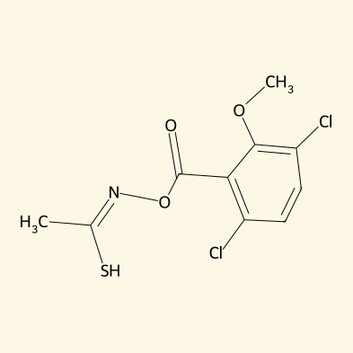 COc1c(Cl)ccc(Cl)c1C(=O)ON=C(C)S